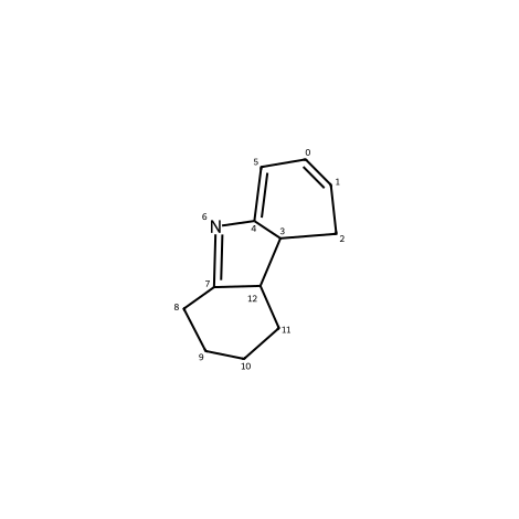 C1=CCC2C(=C1)N=C1CCCCC12